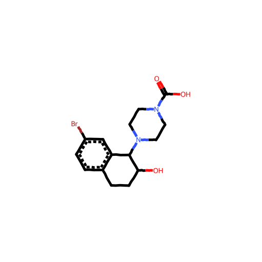 O=C(O)N1CCN(C2c3cc(Br)ccc3CCC2O)CC1